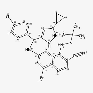 CC(C)(C)CNc1c(C#N)cnc2c(Br)cc(NC(C3=CN(C4CC4)NN3)c3ccc(Cl)cc3)cc12